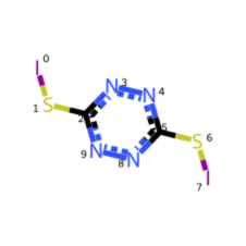 ISc1nnc(SI)nn1